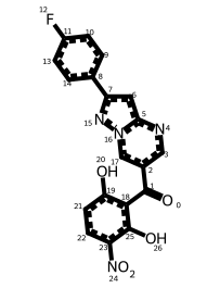 O=C(c1cnc2cc(-c3ccc(F)cc3)nn2c1)c1c(O)ccc([N+](=O)[O-])c1O